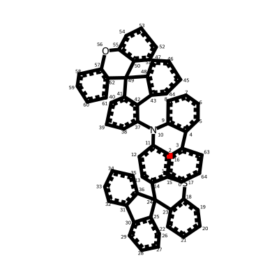 c1ccc(-c2ccccc2N(c2ccc3c(c2)Sc2ccccc2C32c3ccccc3-c3ccccc32)c2cccc3c2-c2ccccc2C32c3ccccc3Oc3ccccc32)cc1